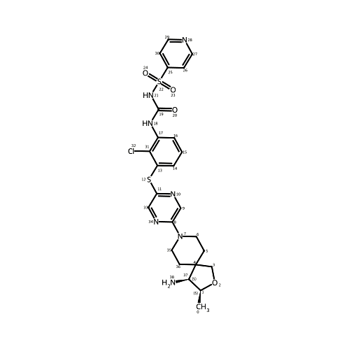 C[C@@H]1OCC2(CCN(c3cnc(Sc4cccc(NC(=O)NS(=O)(=O)c5ccncc5)c4Cl)cn3)CC2)[C@@H]1N